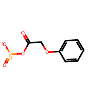 O=C(COc1ccccc1)O[PH](=O)O